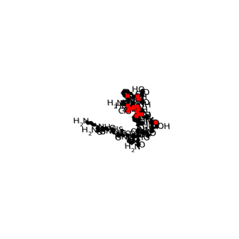 C[C@H](NC(=O)CNC(=O)[C@H](CCC(N)=O)NC(=O)[C@H](CC(=O)O)NC(=O)[C@H](CCC(=O)O)NC(=O)[C@H](Cc1ccccc1)NC(=O)[C@H](CC(N)=O)NC(=O)[C@H](Cc1ccccc1)NC(=O)CCl)C(=O)N[C@@H](CC(=O)O)C(=O)N[C@H](C(=O)N[C@@H](Cc1c[nH]c2ccccc12)C(=O)N[C@@H](CCC(N)=O)C(=O)N1CCC[C@H]1C(=O)N[C@@H](CS)C(=O)NCC(=O)NCC(=O)N[C@@H](CCCCN)C(N)=O)[C@@H](C)O